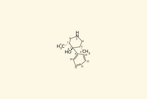 C[C@@H]1CNC[C@H](C)[C@]1(O)c1ccccc1